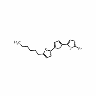 CCCCCCc1ccc(-c2ccc(-c3ccc(Br)s3)s2)s1